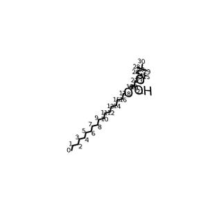 CCCCCCCCCCCCCCCCCCOC[C@@H](O)CO[Si](C)(C)C(C)(C)C